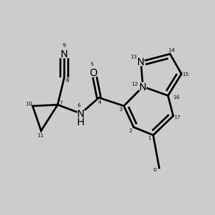 Cc1cc(C(=O)NC2(C#N)CC2)n2nccc2c1